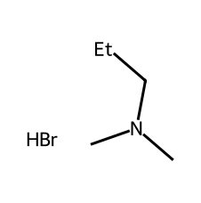 Br.CCCN(C)C